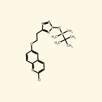 CC(C)(C)[Si](C)(C)On1nnc(CCOc2ccc3nc(Cl)ccc3c2)n1